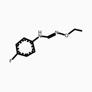 CCO/N=[C]/Nc1ccc(F)cc1